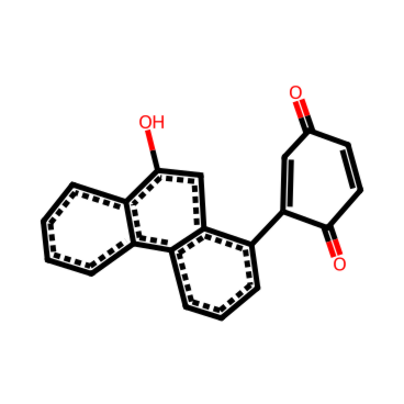 O=C1C=CC(=O)C(c2cccc3c2cc(O)c2ccccc23)=C1